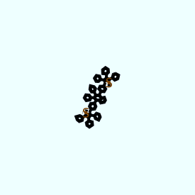 CS1(C)C(c2ccccc2)=C(c2ccccc2)C(c2ccccc2)=C1c1ccc(-c2c(-c3ccccc3)c(-c3ccccc3)c(-c3ccc(C4=C(c5ccccc5)C(c5ccccc5)=C(c5ccccc5)S4(C)C)cc3)c3ccccc23)cc1